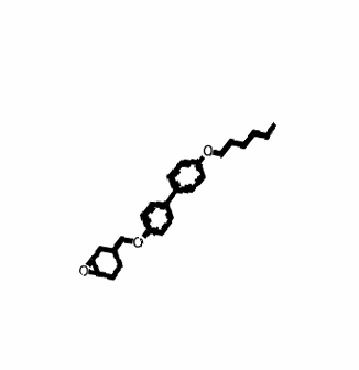 CCCCCCOc1ccc(-c2ccc(OCC3CCC4OC4C3)cc2)cc1